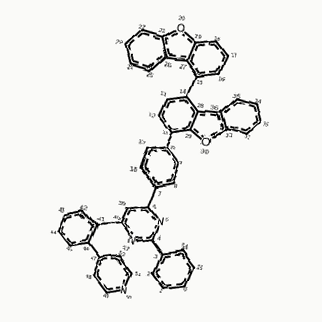 c1ccc(-c2nc(-c3ccc(-c4ccc(-c5cccc6oc7ccccc7c56)c5c4oc4ccccc45)cc3)cc(-c3ccccc3-c3ccncc3)n2)cc1